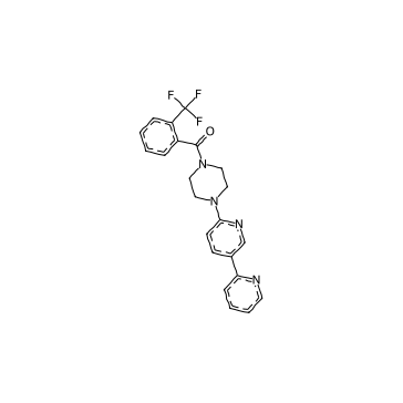 O=C(c1ccccc1C(F)(F)F)N1CCN(c2ccc(-c3ccccn3)cn2)CC1